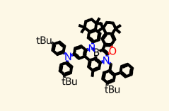 Cc1cc2c3c(c1)N(Cc1ccc(C(C)(C)C)cc1-c1ccccc1)c1oc4cc5c(cc4c1B3N(c1ccc3c(c1)C(C)(C)CCC3(C)C)c1ccc(N(c3ccc(C(C)(C)C)cc3)c3ccc(C(C)(C)C)cc3)cc1-2)C(C)(C)CCC5(C)C